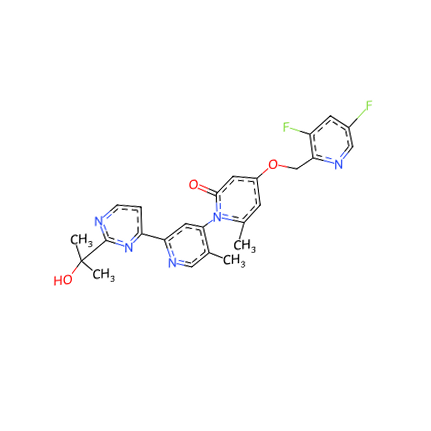 Cc1cnc(-c2ccnc(C(C)(C)O)n2)cc1-n1c(C)cc(OCc2ncc(F)cc2F)cc1=O